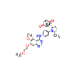 COCCOc1cc2ncnc(Nc3ccc(N4C(C)CCC4C)c(C4=CC(=O)C=CC4=O)c3)c2cc1OC